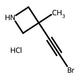 CC1(C#CBr)CNC1.Cl